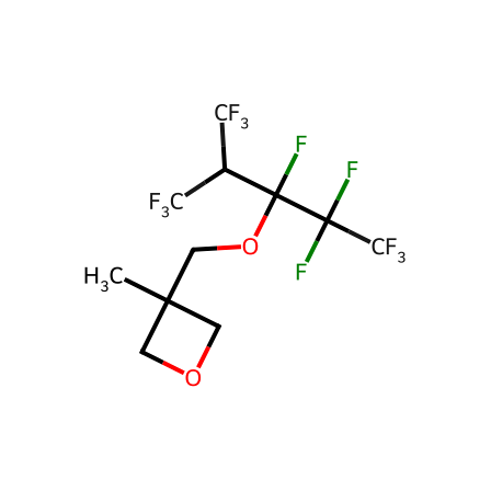 CC1(COC(F)(C(C(F)(F)F)C(F)(F)F)C(F)(F)C(F)(F)F)COC1